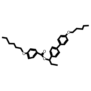 CCCCCCOc1ccc(C(=O)OC(CC)c2ccc(-c3ccc(OCCCCC)cc3)cc2)cc1